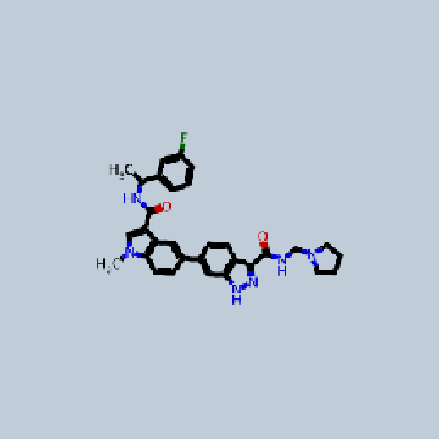 CC(NC(=O)c1cn(C)c2ccc(-c3ccc4c(C(=O)NCN5CCCC5)n[nH]c4c3)cc12)c1cccc(F)c1